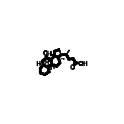 C[C@H](CCC(=O)O)[C@H]1CC[C@H]2[C@@H]3C(=O)C[C@@H]4CCCC[C@]4(C)[C@H]3CC[C@]12C